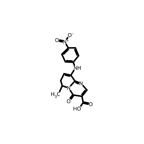 CC1CC=C(Nc2ccc([N+](=O)[O-])cc2)c2ncc(C(=O)O)c(=O)n21